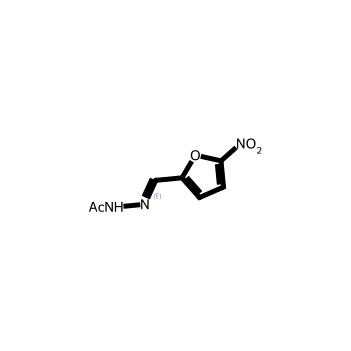 CC(=O)N/N=C/c1ccc([N+](=O)[O-])o1